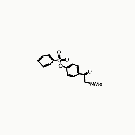 CNCC(=O)c1ccc(OS(=O)(=O)c2ccccc2)cc1